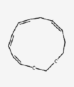 [C]1=CCCCCCC=CC=CC=CC1